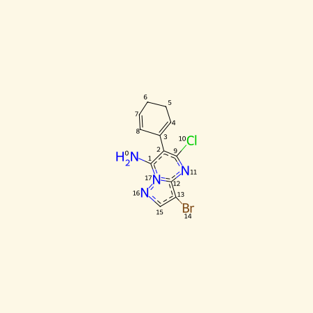 Nc1c(C2=CCCC=C2)c(Cl)nc2c(Br)cnn12